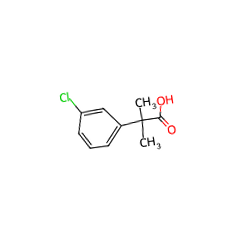 CC(C)(C(=O)O)c1cccc(Cl)c1